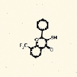 O=c1c(S)c(-c2ccccc2)oc2c(C(F)(F)F)cccc12